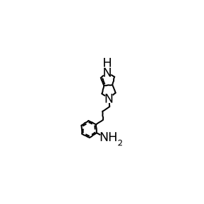 Nc1ccccc1CCCN1CC2=CNCC2C1